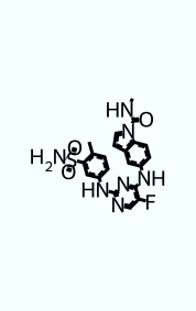 CNC(=O)n1ccc2cc(Nc3nc(Nc4ccc(C)c(S(N)(=O)=O)c4)ncc3F)ccc21